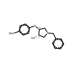 COc1ccc(O[C@H]2CN(Cc3ccccc3)C[C@@H]2O)cc1